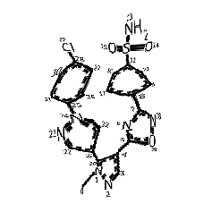 Cn1ncc(-c2nc(-c3ccc(S(N)(=O)=O)cc3)no2)c1-c1cnn(-c2ccc(Cl)cc2)c1